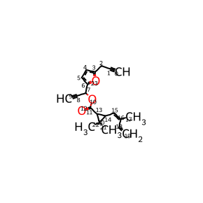 C#CCc1ccc(C(C#C)OC(=O)C2C(C=C(C)C=C)C2(C)C)o1